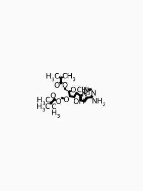 CC(C)C(=O)OC[C@H]1O[C@@](C)(c2ccc3c(N)ncnn23)[C@H](O)[C@@H]1OCOC(=O)C(C)(C)C